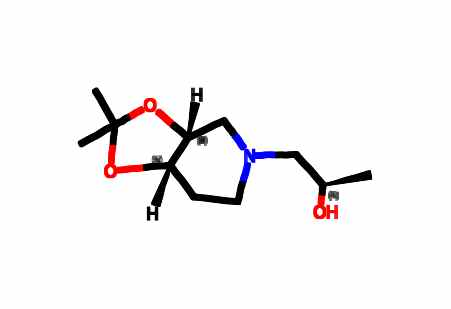 C[C@@H](O)CN1CC[C@@H]2OC(C)(C)O[C@@H]2C1